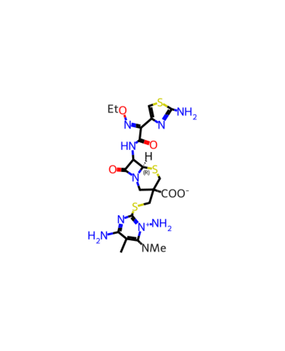 CCON=C(C(=O)NC1C(=O)N2CC(CSc3nc(N)c(C)c(NC)[n+]3N)(C(=O)[O-])CS[C@H]12)c1csc(N)n1